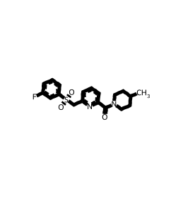 CC1CCN(C(=O)c2cccc(CS(=O)(=O)c3cccc(F)c3)n2)CC1